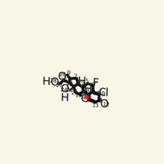 CC1C[C@H]2[C@@H]3CC(F)C4=C(Cl)C(=O)C=C[C@]4(C)[C@]34OC4C[C@]2(C)[C@@]1(O)C(=O)CO